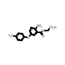 O=C(O)COC(=O)c1cc(Oc2ccc(C(F)(F)F)cc2)ccc1[N+](=O)[O-]